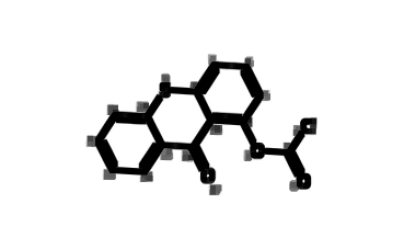 O=C(Cl)Oc1cccc2sc3ccccc3c(=O)c12